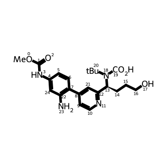 COC(=O)Nc1ccc(-c2ccnc([C@H](CCCO)N(C(=O)O)C(C)(C)C)c2)c(N)c1